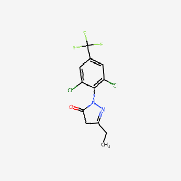 CCC1=NN(c2c(Cl)cc(C(F)(F)F)cc2Cl)C(=O)C1